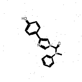 CN(C(=O)n1cnc(-c2ccc(O)cc2)c1)c1ccccc1